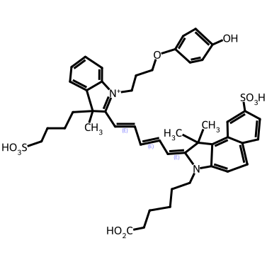 CC1(CCCCS(=O)(=O)O)C(/C=C/C=C/C=C2/N(CCCCCC(=O)O)c3ccc4ccc(S(=O)(=O)O)cc4c3C2(C)C)=[N+](CCCOc2ccc(O)cc2)c2ccccc21